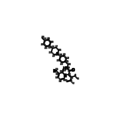 C=C(C)/C(CC)=C(/C(=O)NCc1ccc(N2CCC(c3ccc(C)cc3)CC2)cc1)N1C=CC=C(Br)C1=C